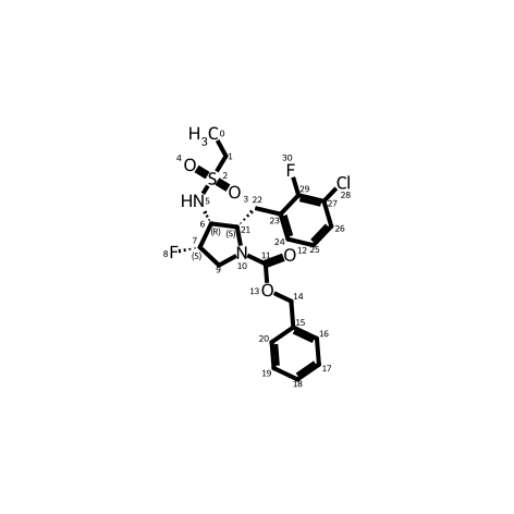 CCS(=O)(=O)N[C@H]1[C@@H](F)CN(C(=O)OCc2ccccc2)[C@H]1Cc1cccc(Cl)c1F